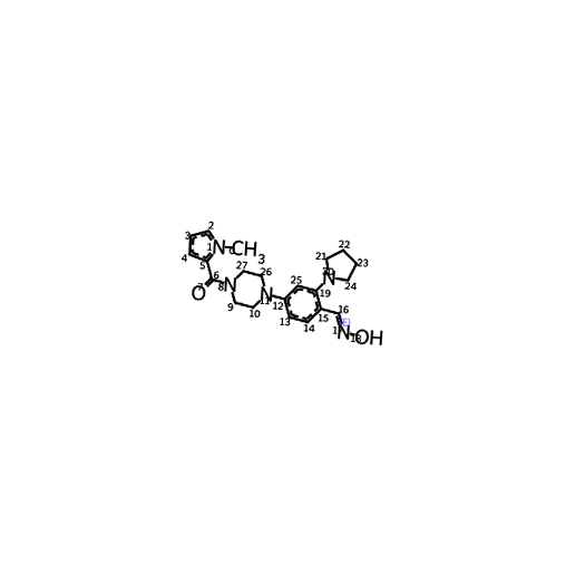 Cn1cccc1C(=O)N1CCN(c2ccc(/C=N/O)c(N3CCCC3)c2)CC1